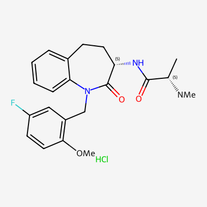 CN[C@@H](C)C(=O)N[C@H]1CCc2ccccc2N(Cc2cc(F)ccc2OC)C1=O.Cl